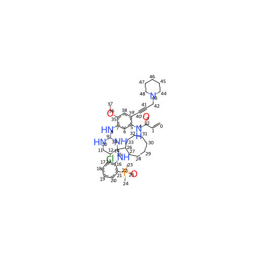 C=CC(=O)Nc1cc(NC2NCC(Cl)C(Nc3ccccc3P(C)(C)=O)(C3CCCCCCC3)N2)c(OC)cc1C#CCN1CCCCC1